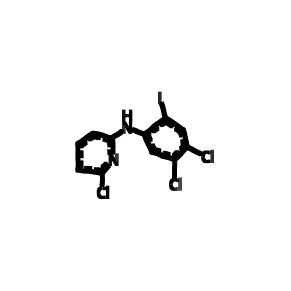 Clc1cccc(Nc2cc(Cl)c(Cl)cc2I)n1